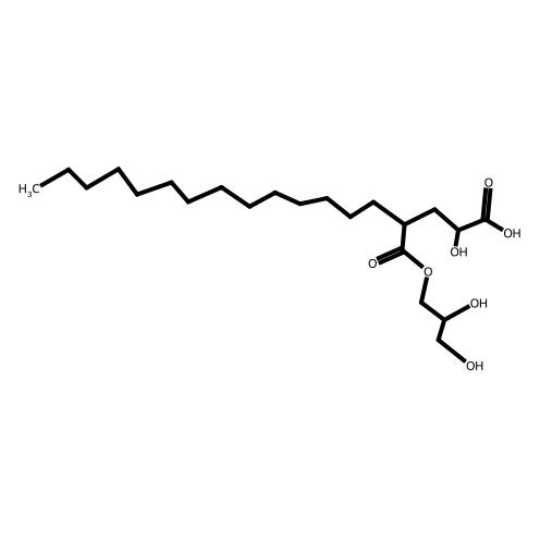 CCCCCCCCCCCCCCC(CC(O)C(=O)O)C(=O)OCC(O)CO